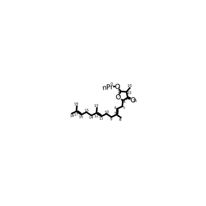 CCCOC1OC(C/C=C(\C)CC/C=C(\C)CCC=C(C)C)C(=O)C1C